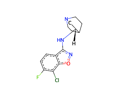 Fc1ccc2c(N[C@@H]3CN4CCC3CC4)noc2c1Cl